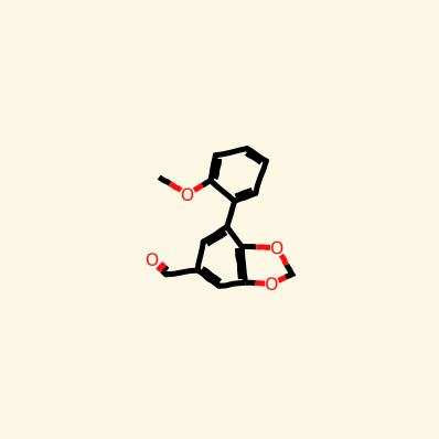 COc1ccccc1-c1cc(C=O)cc2c1OCO2